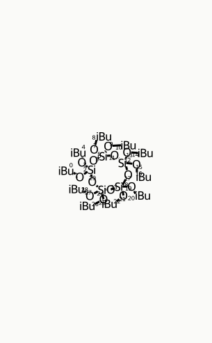 CCC(C)O[Si]1(OC(C)CC)O[Si](OC(C)CC)(OC(C)CC)O[Si](OC(C)CC)(OC(C)CC)O[Si](OC(C)CC)(OC(C)CC)O[Si](OC(C)CC)(OC(C)CC)O1